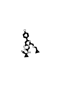 N#CC1(NC(=O)Cn2c(COCC3CC3)nc(-c3ccc(Cl)cc3)cc2=O)CC1